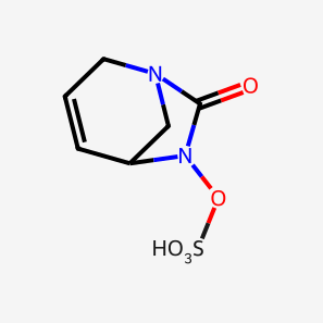 O=C1N2CC=CC(C2)N1OS(=O)(=O)O